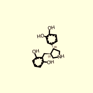 Oc1ccc([C@@H]2CNC[C@H]2Cc2c(O)cccc2O)cc1O